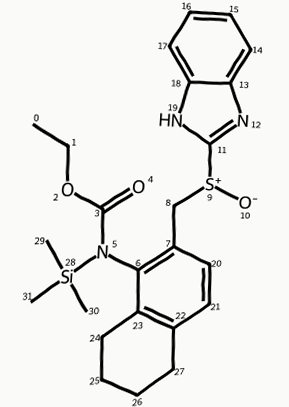 CCOC(=O)N(c1c(C[S+]([O-])c2nc3ccccc3[nH]2)ccc2c1CCCC2)[Si](C)(C)C